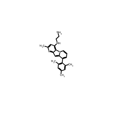 Cc1cc(C)c(-c2cccn3c2cc2nc(C)cc(NCCN)c23)c(C)c1